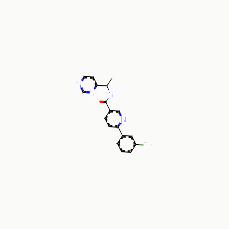 CC(NC(=O)c1ccc(-c2cccc(F)c2)nc1)c1ccncn1